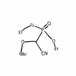 CCOP(=O)(OCC)C(C#N)OC(C)(C)C